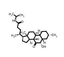 CC(C)NC(=O)CC[C@H](C)[C@@H]1CC[C@@H]2[C@H]3C(=O)[C@@H](O)[C@H]4C[C@@H](C)CC[C@@]4(C)[C@@H]3CC[C@]21C